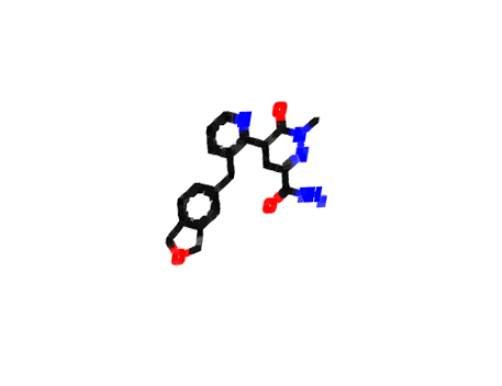 CN1N=C(C(N)=O)CC(c2ncccc2Cc2ccc3c(c2)COC3)C1=O